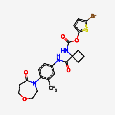 O=C(NC1(C(=O)Nc2ccc(N3CCOCCC3=O)c(C(F)(F)F)c2)CCC1)Oc1ccc(Br)s1